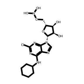 O[C@@H]1[C@H](O)[C@@H](CON(O)O)O[C@H]1n1cnc2c(NC3CCCCC3)nc(Cl)nc21